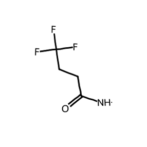 [NH]C(=O)CCC(F)(F)F